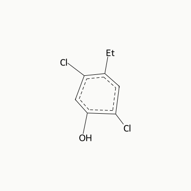 CCc1cc(Cl)c(O)cc1Cl